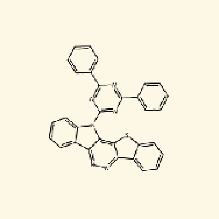 c1ccc(-c2nc(-c3ccccc3)nc(-n3c4ccccc4c4nnc5c6ccccc6sc5c43)n2)cc1